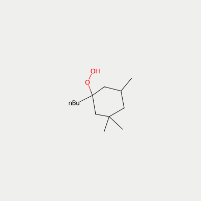 CCCCC1(OO)CC(C)CC(C)(C)C1